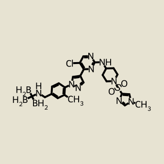 BC(B)(B)NCc1ccc(-n2cc(-c3nc(NC4CCN(S(=O)(=O)c5cn(C)cn5)CC4)ncc3Cl)cn2)c(C)c1